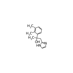 Cc1cccc(C(C)(O)Cc2ncc[nH]2)c1C